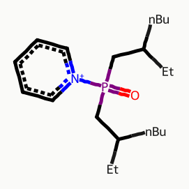 CCCCC(CC)CP(=O)(CC(CC)CCCC)[n+]1ccccc1